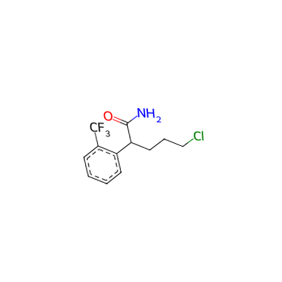 NC(=O)C(CCCCl)c1ccccc1C(F)(F)F